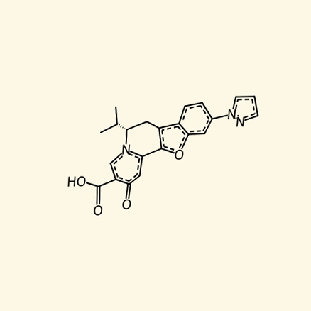 CC(C)[C@@H]1Cc2c(oc3cc(-n4cccn4)ccc23)-c2cc(=O)c(C(=O)O)cn21